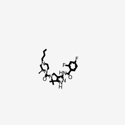 CCCCN1CCN(C(=O)N2Cc3c(NC(=O)c4ccc(F)cc4F)n[nH]c3C2(C)C)[C@@H](C)C1